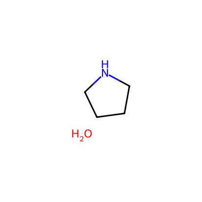 C1CCNC1.O